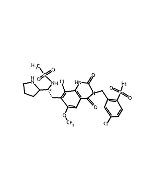 CCS(=O)(=O)c1ccc(Cl)cc1Cn1c(=O)[nH]c2c(Cl)c(C[C@@H](NS(C)(=O)=O)C3CCCN3)c(OC(F)(F)F)cc2c1=O